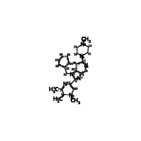 C=C1C(C)=NC(c2nc3cnc(N4CCN(C)CC4)cc3n2Cc2ccccc2)=CN1C